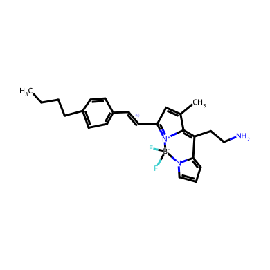 CCCCc1ccc(/C=C/C2=[N+]3C(=C(CCN)c4cccn4[B-]3(F)F)C(C)=C2)cc1